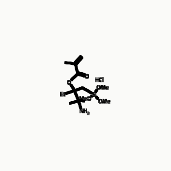 C=C(C)C(=O)OC(CC)(C[Si](OC)(OC)OC)C(C)(C)N.Cl